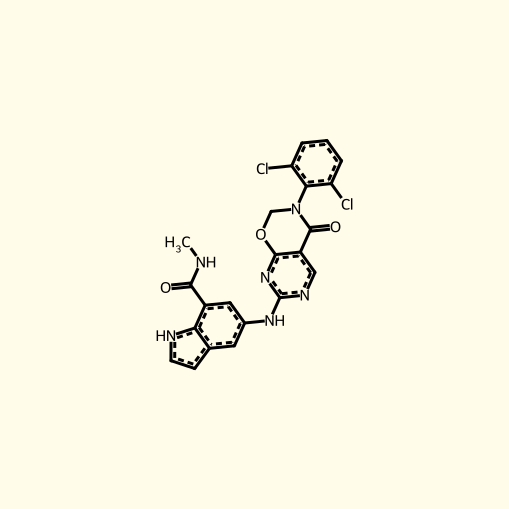 CNC(=O)c1cc(Nc2ncc3c(n2)OCN(c2c(Cl)cccc2Cl)C3=O)cc2cc[nH]c12